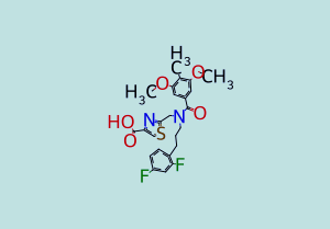 COc1cc(C(=O)N(CCCc2ccc(F)cc2F)Cc2nc(C(=O)O)cs2)cc(OC)c1C